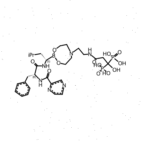 CC(C)C[C@@H](NC(=O)[C@@H](Cc1ccccc1)NC(=O)c1cnccn1)B1OCCN(CCNC(=O)CC(O)(P(=O)(O)O)P(=O)(O)O)CCO1